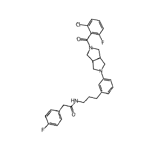 O=C(Cc1ccc(F)cc1)NCCCc1cccc(N2CC3CN(C(=O)c4c(F)cccc4Cl)CC3C2)c1